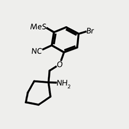 CSc1cc(Br)cc(OCC2(N)CCCCC2)c1C#N